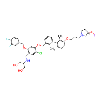 Cc1c(COc2cc(OCc3ccc(F)c(F)c3)c(CNC(CO)CO)cc2Cl)cccc1-c1cccc(OCCCN2CC[C@@H](OI)C2)c1C